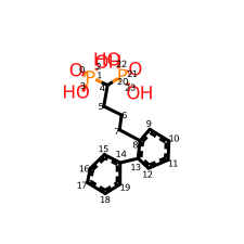 O=P(O)(O)C(CCCc1ccccc1-c1ccccc1)P(=O)(O)O